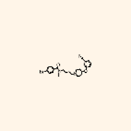 N#Cc1cccc(OC2CCN(CCCCNC(=O)c3ccc(Br)cc3)CC2)c1